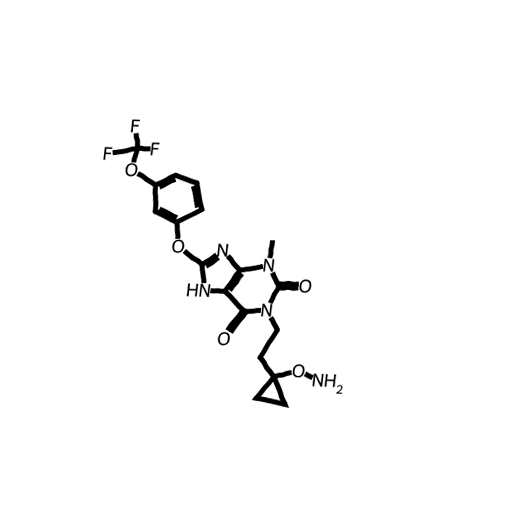 Cn1c(=O)n(CCC2(ON)CC2)c(=O)c2[nH]c(Oc3cccc(OC(F)(F)F)c3)nc21